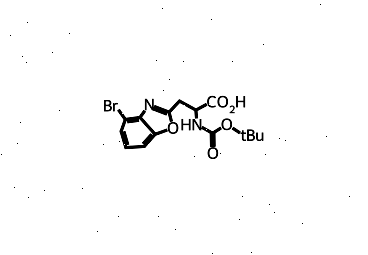 CC(C)(C)OC(=O)NC(Cc1nc2c(Br)cccc2o1)C(=O)O